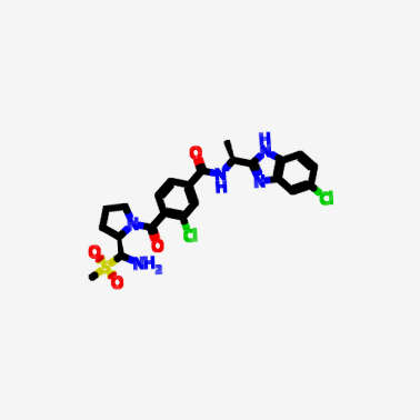 C[C@H](NC(=O)c1ccc(C(=O)N2CCC[C@@H]2C(N)S(C)(=O)=O)c(Cl)c1)c1nc2cc(Cl)ccc2[nH]1